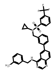 Cc1cccc(CNc2ncnc3ccc(-c4cccc(CN(C5CC5)S(=O)(=O)c5cccc(C(F)(F)F)c5)c4)cc23)c1